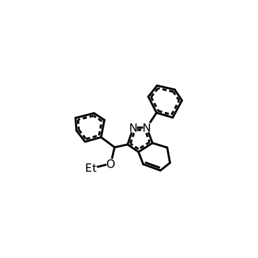 CCOC(c1ccccc1)c1nn(-c2ccccc2)c2c1C=CCC2